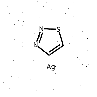 [Ag].c1csnn1